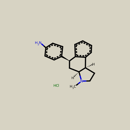 CN1CC[C@@H]2c3ccccc3[C@H](c3ccc(N)cc3)C[C@@H]21.Cl